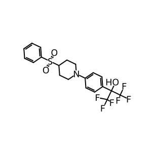 O=S(=O)(c1ccccc1)C1CCN(c2ccc(C(O)(C(F)(F)F)C(F)(F)F)cc2)CC1